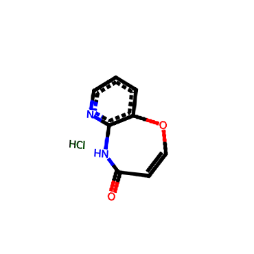 Cl.O=C1C=COc2cccnc2N1